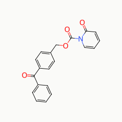 O=C(c1ccccc1)c1ccc(COC(=O)n2ccccc2=O)cc1